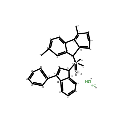 Cc1ccc2c(c1)[CH]([Zr]([CH3])([CH3])(=[SiH2])[CH]1C=C(c3ccccc3)c3ccccc31)c1cccc(C)c1-2.Cl.Cl